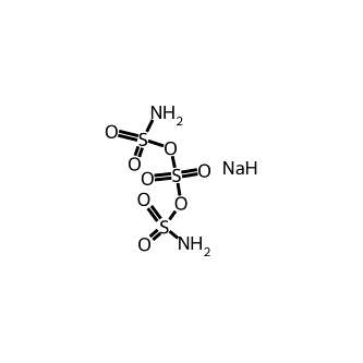 NS(=O)(=O)OS(=O)(=O)OS(N)(=O)=O.[NaH]